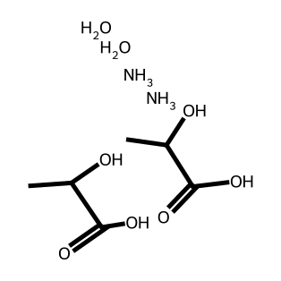 CC(O)C(=O)O.CC(O)C(=O)O.N.N.O.O